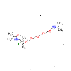 CCC(C)NCCOCCOCCOCCOCCOC(C)(C)C(F)CNC(=O)C(C)C